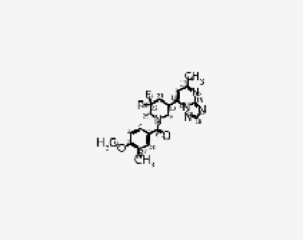 COc1ccc(C(=O)N2CC(c3cc(C)nc4ncnn34)CC(F)(F)C2)cc1C